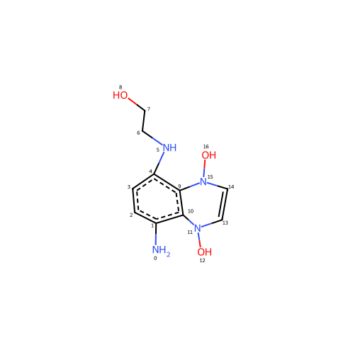 Nc1ccc(NCCO)c2c1N(O)C=CN2O